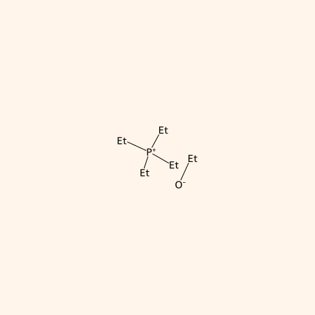 CC[O-].CC[P+](CC)(CC)CC